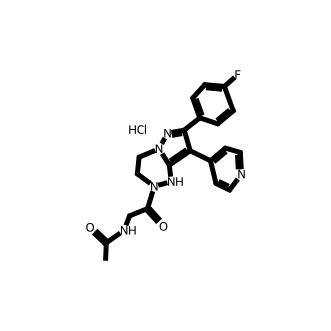 CC(=O)NCC(=O)N1CCn2nc(-c3ccc(F)cc3)c(-c3ccncc3)c2N1.Cl